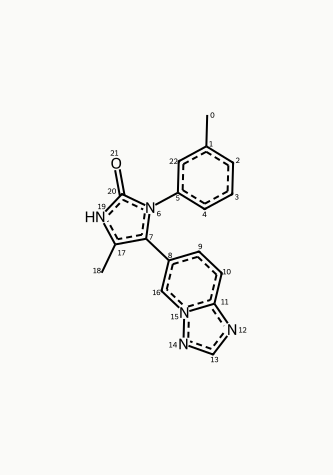 Cc1cccc(-n2c(-c3ccc4ncnn4c3)c(C)[nH]c2=O)c1